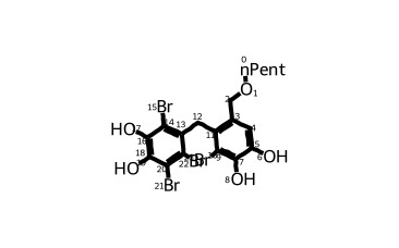 CCCCCOCc1cc(O)c(O)c(Br)c1Cc1c(Br)c(O)c(O)c(Br)c1Br